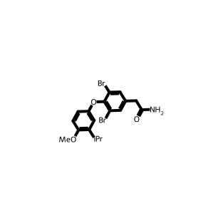 COc1ccc(Oc2c(Br)cc(CC(N)=O)cc2Br)cc1C(C)C